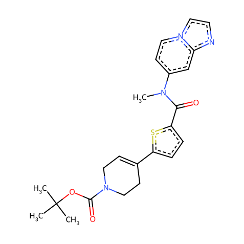 CN(C(=O)c1ccc(C2=CCN(C(=O)OC(C)(C)C)CC2)s1)c1ccn2ccnc2c1